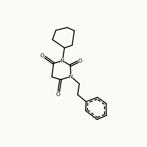 O=C1CC(=O)N(C2CCCCC2)C(=O)N1CCc1ccccc1